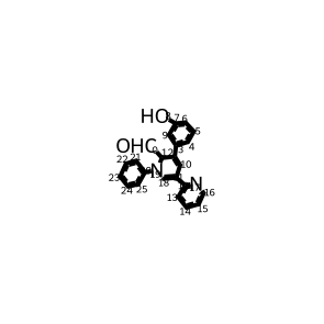 O=CC1C(c2cccc(O)c2)=CC(c2ccccn2)=CN1c1ccccc1